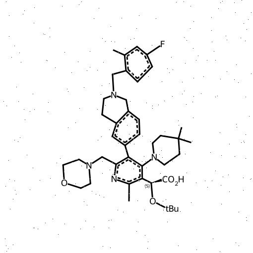 Cc1cc(F)ccc1CN1CCc2cc(-c3c(CN4CCOCC4)nc(C)c([C@H](OC(C)(C)C)C(=O)O)c3N3CCC(C)(C)CC3)ccc2C1